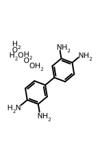 Nc1ccc(-c2ccc(N)c(N)c2)cc1N.O.O.O.O